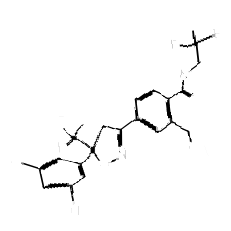 CCc1cc(C2=NOC(c3cc(Cl)cc(Cl)c3)(C(F)(F)F)C2)ccc1C(=O)NCC(F)(F)F